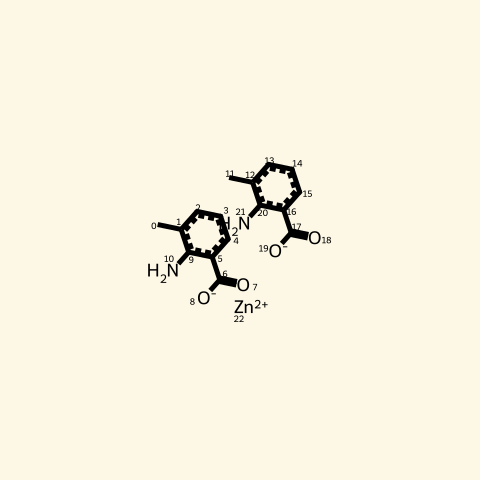 Cc1cccc(C(=O)[O-])c1N.Cc1cccc(C(=O)[O-])c1N.[Zn+2]